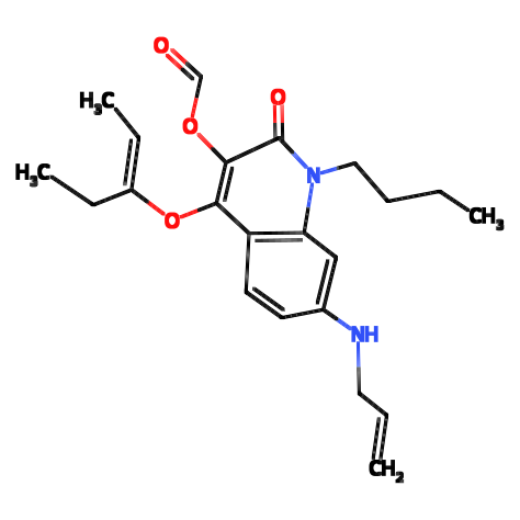 C=CCNc1ccc2c(OC(=CC)CC)c(OC=O)c(=O)n(CCCC)c2c1